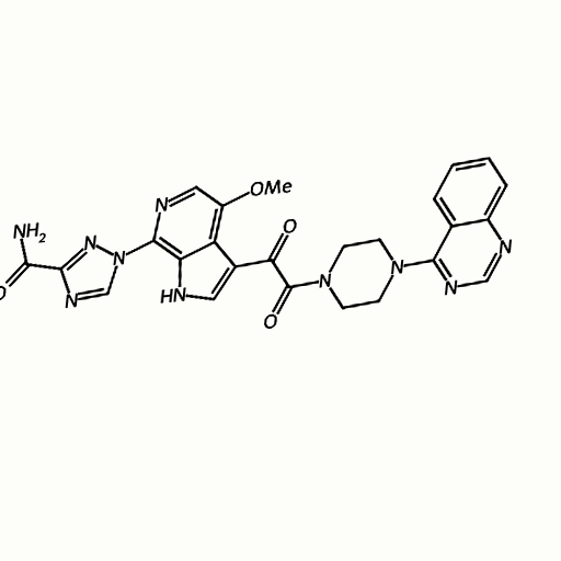 COc1cnc(-n2cnc(C(N)=O)n2)c2[nH]cc(C(=O)C(=O)N3CCN(c4ncnc5ccccc45)CC3)c12